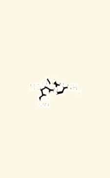 Nc1ccn(C2OC(CO)[C@@H](O)[C@]23CCO3)c(=O)n1